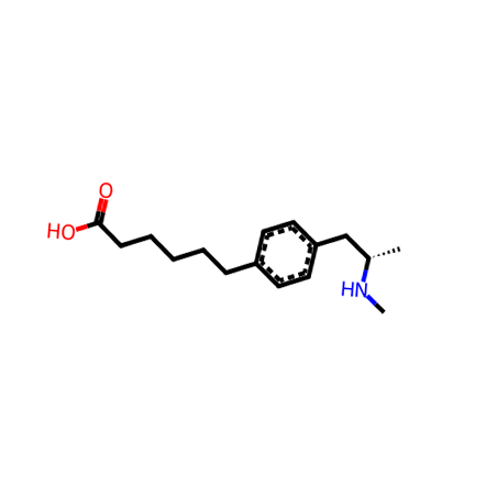 CN[C@@H](C)Cc1ccc(CCCCCC(=O)O)cc1